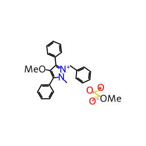 COS(=O)(=O)[O-].COc1c(-c2ccccc2)n(C)[n+](Cc2ccccc2)c1-c1ccccc1